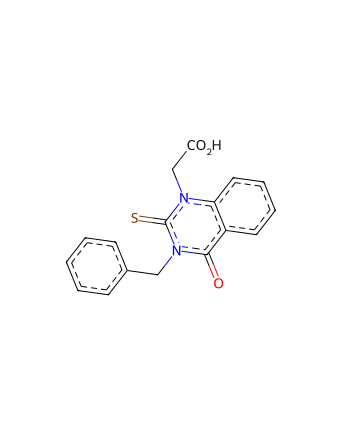 O=C(O)Cn1c(=S)n(Cc2ccccc2)c(=O)c2ccccc21